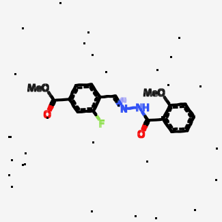 COC(=O)c1ccc(/C=N/NC(=O)c2ccccc2OC)c(F)c1